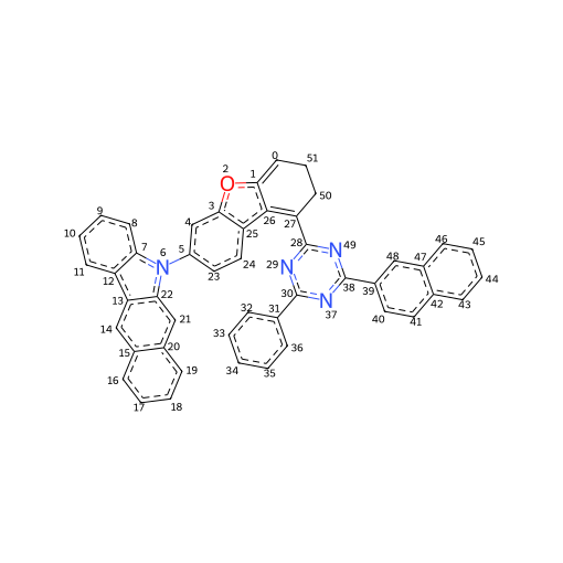 C1=c2oc3cc(-n4c5ccccc5c5cc6ccccc6cc54)ccc3c2=C(c2nc(-c3ccccc3)nc(-c3ccc4ccccc4c3)n2)CC1